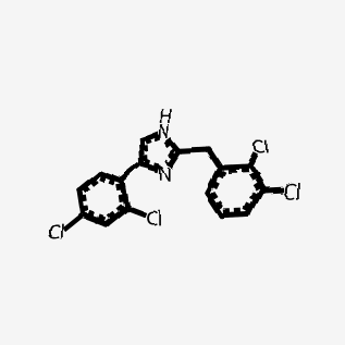 Clc1ccc(-c2c[nH]c(Cc3cccc(Cl)c3Cl)n2)c(Cl)c1